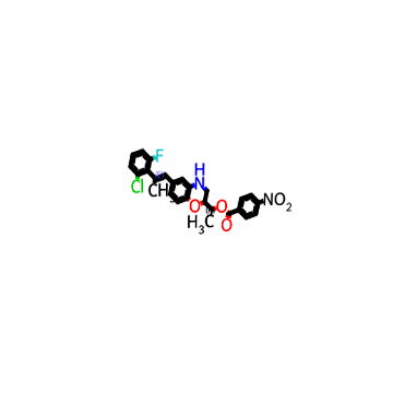 C/C(=C\c1ccc2c(c1)NCC([C@@H](C)OC(=O)c1ccc([N+](=O)[O-])cc1)O2)c1c(F)cccc1Cl